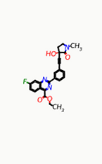 CCOC(=O)c1nc(-c2cccc(C#C[C@]3(O)CCN(C)C3=O)c2)nc2cc(F)ccc12